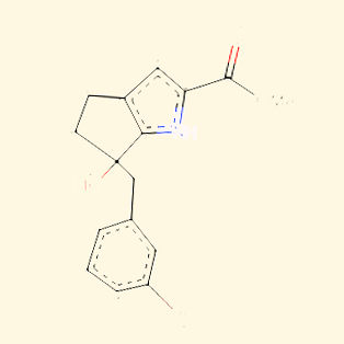 COC(=O)c1cc2c([nH]1)C(O)(Cc1cccc(Br)c1)CC2